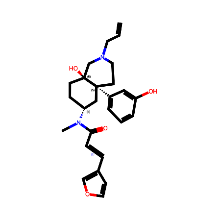 C=CCN1CC[C@@]2(c3cccc(O)c3)C[C@H](N(C)C(=O)/C=C/c3ccoc3)CC[C@]2(O)C1